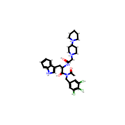 CC(=O)N(Cc1cc(Cl)c(Cl)c(Cl)c1)C(=O)C(Cc1c[nH]c2ccccc12)NC(=O)CN1CCC(N2CCCCC2)CC1